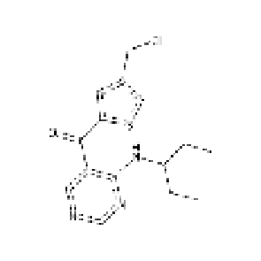 CCC(CC)Nc1ncncc1C(=O)c1cc(CCl)cs1